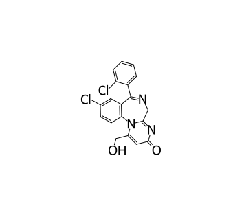 O=c1cc(CO)n2c(n1)CN=C(c1ccccc1Cl)c1cc(Cl)ccc1-2